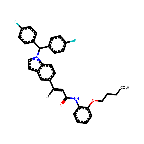 CC/C(=C\C(=O)Nc1ccccc1OCCCC(=O)O)c1ccc2c(ccn2C(c2ccc(F)cc2)c2ccc(F)cc2)c1